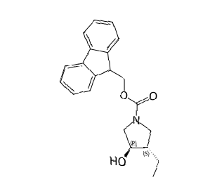 CC[C@H]1CN(C(=O)OCC2c3ccccc3-c3ccccc32)C[C@@H]1O